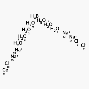 O.O.O.O.O.O.O.[BH4-].[Ce].[Cl-].[Cl-].[Cl-].[Na+].[Na+].[Na+].[Na+]